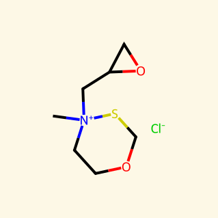 C[N+]1(CC2CO2)CCOCS1.[Cl-]